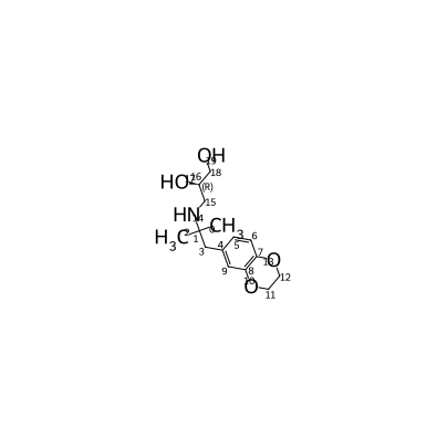 CC(C)(Cc1ccc2c(c1)OCCO2)NC[C@@H](O)CO